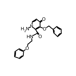 Nn1ccc(=O)c(OCc2ccccc2)c1C(=O)NCCOc1ccccc1